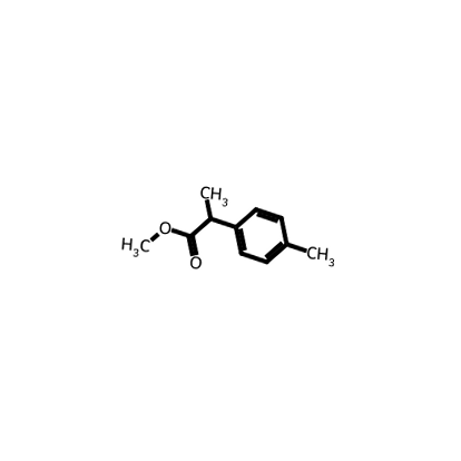 COC(=O)C(C)c1ccc(C)cc1